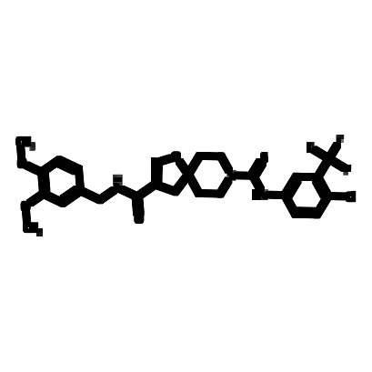 COc1ccc(CNC(=O)C2=NOC3(CCN(C(=S)Nc4ccc(Cl)c(C(F)(F)F)c4)CC3)C2)cc1OC